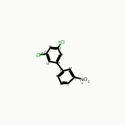 O=[N+]([O-])c1[c]ccc(-c2cc(Cl)cc(Cl)c2)c1